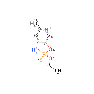 CCOP(N)(=S)Oc1ccc(C)nc1